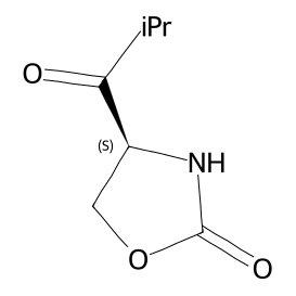 CC(C)C(=O)[C@@H]1COC(=O)N1